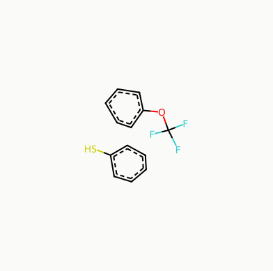 FC(F)(F)Oc1ccccc1.Sc1ccccc1